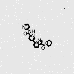 O=C(Nc1cccnc1)c1ccc(-c2cccc3c(C(=O)N4CCCCC4)cnn23)cn1